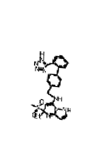 CCC1(S(C)(=O)=O)C=C(NCc2ccc(-c3ccccc3-c3nnn[nH]3)cc2)N2NC=CC2=N1